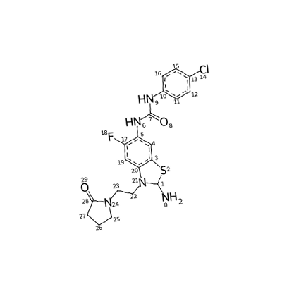 NC1Sc2cc(NC(=O)Nc3ccc(Cl)cc3)c(F)cc2N1CCN1CCCC1=O